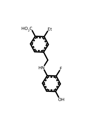 CCc1cc(CNc2ccc(O)cc2F)ccc1C(=O)O